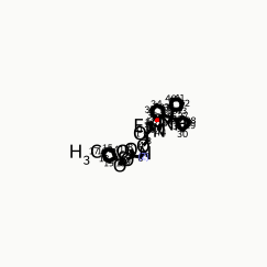 CCOC(CO/N=C\C(=O)OS(=O)(=O)c1ccc(C)cc1)c1csc(NC(c2ccccc2)(c2ccccc2)c2ccccc2)n1